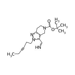 CCC#CCCn1nc2c(c1C=N)CN(C(=O)OC(C)(C)C)CC2